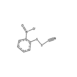 N#CSSc1ccccc1[N+](=O)[O-]